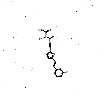 Cc1cccc(C=Cc2ccc(C#CC(C)N(O)C(N)=O)o2)c1